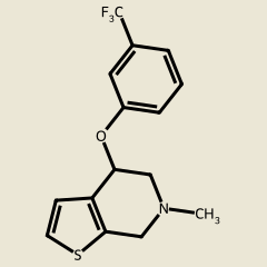 CN1Cc2sccc2C(Oc2cccc(C(F)(F)F)c2)C1